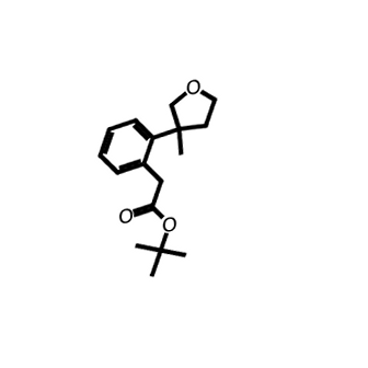 CC(C)(C)OC(=O)Cc1ccccc1C1(C)CCOC1